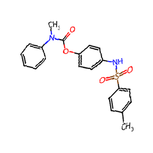 Cc1ccc(S(=O)(=O)Nc2ccc(OC(=O)N(C)c3ccccc3)cc2)cc1